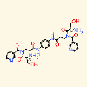 N[C@@H](CO)C(=O)N(CCC(=O)Nc1ccc(NC(=O)CCN(C(=O)c2cccnc2)C(=O)[C@@H](N)CO)cc1)C(=O)c1cccnc1